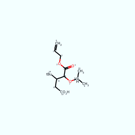 C=CCOC(=O)C(O[SiH](C)C)C(CC(=O)O)C(C)(C)C